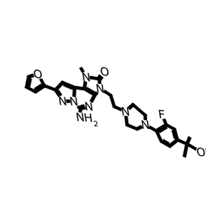 Cn1c(=O)n(CCN2CCN(c3ccc(C(C)(C)O)cc3F)CC2)c2nc(N)n3nc(-c4ccco4)cc3c21